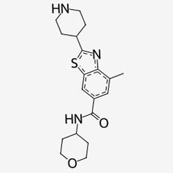 Cc1cc(C(=O)NC2CCOCC2)cc2sc(C3CCNCC3)nc12